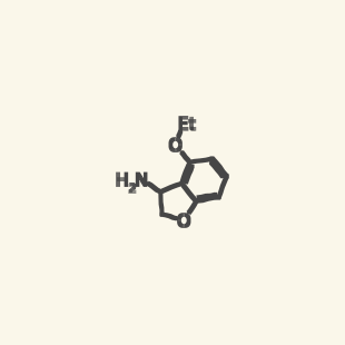 CCOc1cccc2c1C(N)CO2